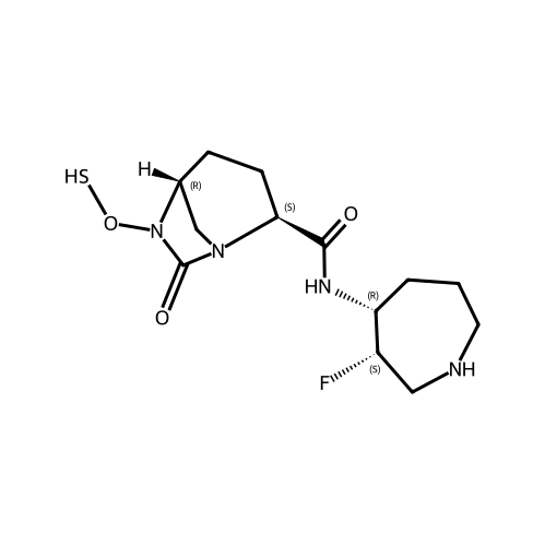 O=C(N[C@@H]1CCCNC[C@@H]1F)[C@@H]1CC[C@@H]2CN1C(=O)N2OS